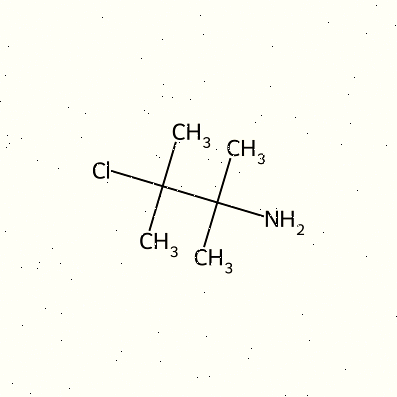 CC(C)(N)C(C)(C)Cl